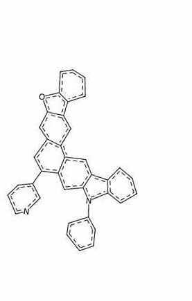 c1ccc(-n2c3ccccc3c3cc4c(cc32)c(-c2cccnc2)cc2cc3oc5ccccc5c3cc24)cc1